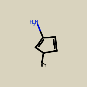 CC(C)C1C=CC(N)=C1